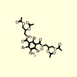 CC(=O)OCC(CNC(=O)c1c(Br)c(N)c(Br)c(C(=O)NCC(COC(C)=O)OC(C)=O)c1Br)OC(C)=O